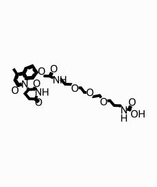 Cc1cc(=O)n(C2CCC(=O)NC2=O)c2cc(OCC(=O)NCCCOCCOCCOCCCNC(=O)O)ccc12